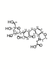 O=C(O)CN1CCOc2ccc(Cc3cc([C@@H]4O[C@H](CO)[C@@H](O)[C@H](O)[C@H]4O)ccc3Cl)cc21